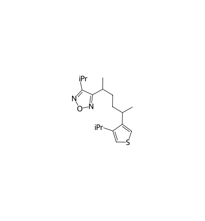 CC(C)c1cscc1C(C)CCC(C)c1nonc1C(C)C